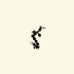 Cc1c(S(C)(=O)=O)c(-c2cccc(N3CCN(c4ccc(N5CCO[P@]5(=O)c5ccc(NC(CCN6CCC(C(=O)O)CC6)CSc6ccccc6)c([N+](=O)[O-])c5)cc4)CC3)c2)c(-c2ccc(Cl)cc2)n1C(C)C